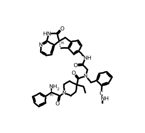 CCC1(C(=O)N(CC(=O)Nc2ccc3c(c2)C[C@@]2(C3)C(=O)Nc3ncccc32)Cc2ccccc2CNC)CCN(C(=O)[C@H](N)c2ccccc2)CC1